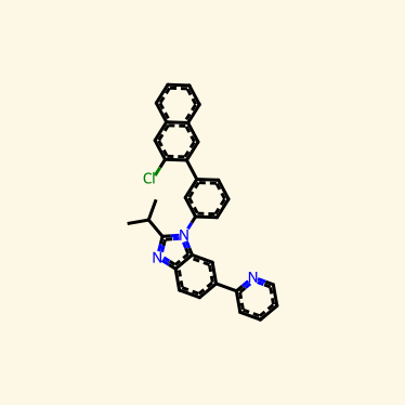 CC(C)c1nc2ccc(-c3ccccn3)cc2n1-c1cccc(-c2cc3ccccc3cc2Cl)c1